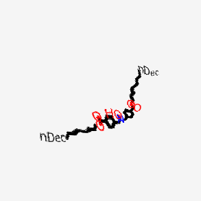 CCCCCCCCCCCCCCCCCCOC(=O)c1ccc(CN(O)Cc2ccc(C(=O)OCCCCCCCCCCCCCCCCCC)cc2)cc1